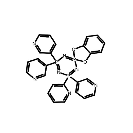 c1ccc(P2(c3cccnc3)=NP3(=NP(c4cccnc4)(c4cccnc4)=N2)Oc2ccccc2O3)nc1